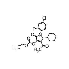 CCOC(=O)OC1=C(C(C)=O)[C@@H](C2CCCCC2)N(c2ccc(Cl)cc2F)C1=O